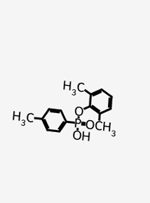 Cc1ccc(P(=O)(O)Oc2c(C)cccc2C)cc1